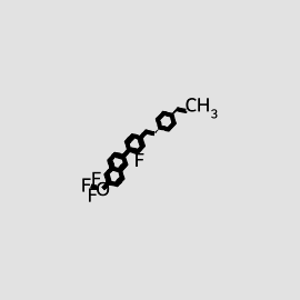 CCC[C@H]1CC[C@H](CCc2ccc(-c3ccc4cc(OC(F)(F)F)ccc4c3)c(F)c2)CC1